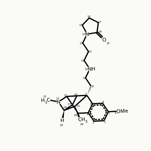 COc1ccc2c(c1)[C@]1(CCNCCCN3CCCC3=O)C3C4N(C)[C@@H]([C@@H]1C)C43C2